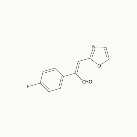 O=C/C(=C\c1ncco1)c1ccc(F)cc1